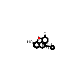 O=C1CC[C@@]2(O)[C@H]3Cc4ccc(O)c5c4[C@@]2(CCN3C2CCC2)[C@H]1O5